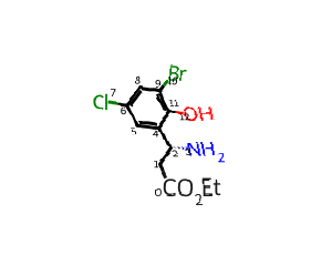 CCOC(=O)C[C@@H](N)c1cc(Cl)cc(Br)c1O